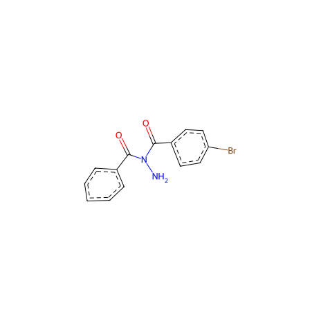 NN(C(=O)c1ccccc1)C(=O)c1ccc(Br)cc1